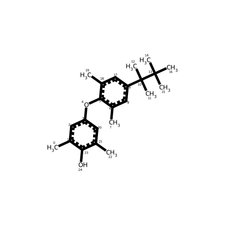 Cc1cc(Oc2c(C)cc(C(C)(C)C(C)(C)C)cc2C)cc(C)c1O